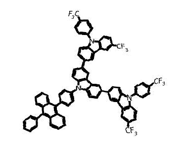 FC(F)(F)c1ccc(-n2c3ccc(-c4ccc5c(c4)c4cc(-c6ccc7c(c6)c6cc(C(F)(F)F)ccc6n7-c6ccc(C(F)(F)F)cc6)ccc4n5-c4ccc(-c5c6ccccc6c(-c6ccccc6)c6ccccc56)cc4)cc3c3cc(C(F)(F)F)ccc32)cc1